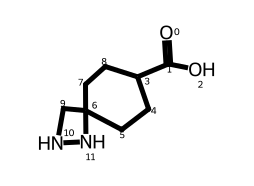 O=C(O)C1CCC2(CC1)CNN2